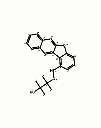 CC(C)(O)C(C)(C)OBc1cccc2oc3nc4ccccc4cc3c12